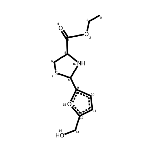 CCOC(=O)C1CSC(c2ccc(CO)o2)N1